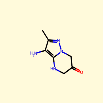 Cc1nn2c(c1N)NCC(=O)C2